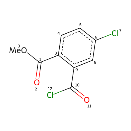 COC(=O)c1ccc(Cl)cc1C(=O)Cl